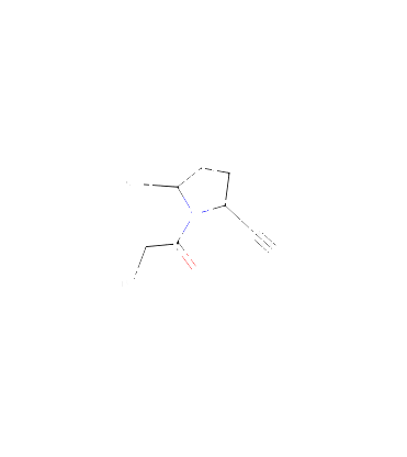 C#CC1CCC(C#N)N1C(=O)CC(C)(C)C